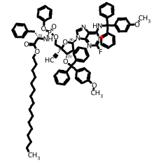 C#C[C@]1(COP(=O)(N[C@@H](Cc2ccccc2)C(=O)OCCCCCCCCCCCCCCCC)Oc2ccccc2)O[C@@H](n2cnc3c(NC(c4ccccc4)(c4ccccc4)c4ccc(OC)cc4)nc(F)nc32)C[C@@H]1OC(c1ccccc1)(c1ccccc1)c1ccc(OC)cc1